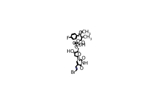 CON(c1ccc(F)cc1)[C@@H](C)C(=O)OP(=O)(O)OC[C@H]1O[C@@H](n2cc(/C=C/Br)c(=O)[nH]c2=O)C[C@@H]1O